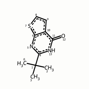 CC(C)(C)c1nc2sccc2c(=O)[nH]1